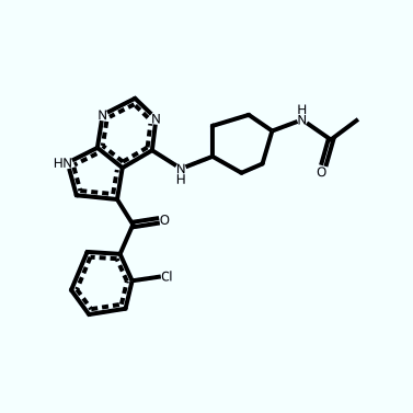 CC(=O)NC1CCC(Nc2ncnc3[nH]cc(C(=O)c4ccccc4Cl)c23)CC1